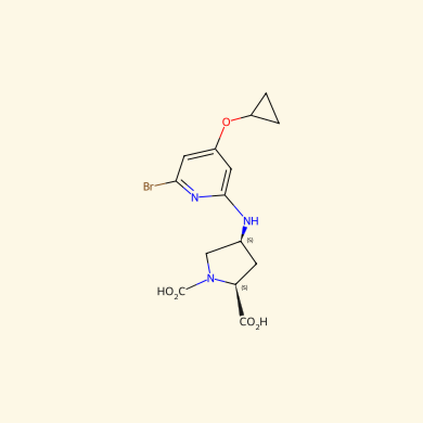 O=C(O)[C@@H]1C[C@H](Nc2cc(OC3CC3)cc(Br)n2)CN1C(=O)O